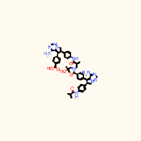 C=C(C)C(=O)Nc1ccc(-c2cn3ncnc(N)c3c2-c2ccc(C(=O)N(C=C(C)C(=O)Nc3ccc(-c4cn5ncnc(N)c5c4-c4ccc(C(=O)O)cc4)cc3)CC(C)(C)O)cc2)cc1